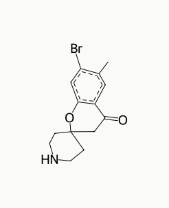 Cc1cc2c(cc1Br)OC1(CCNCC1)CC2=O